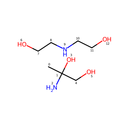 CC(N)(O)CO.OCCNCCO